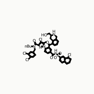 CCCCN(Cc1ccc(Cl)c(Cl)c1)C(=O)c1nn(-c2ccc(C(=O)NS(=O)(=O)c3ccc4cccc(Cl)c4c3)cc2C(=O)c2cccc3c2CC(CO)NC3)c(C)c1Cl